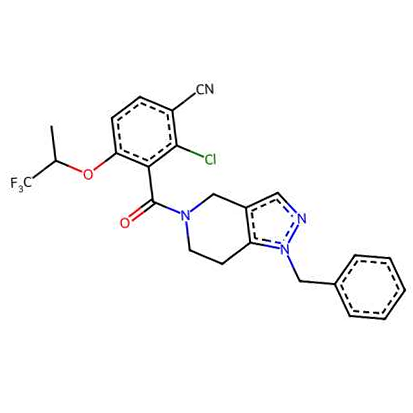 CC(Oc1ccc(C#N)c(Cl)c1C(=O)N1CCc2c(cnn2Cc2ccccc2)C1)C(F)(F)F